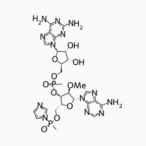 CO[C@@H]1[C@H](OP(C)(=O)OC[C@H]2O[C@@H](n3cnc4c(N)nc(N)nc43)[C@H](O)[C@@H]2O)[C@@H](COP(C)(=O)n2ccnc2)O[C@H]1n1cnc2c(N)ncnc21